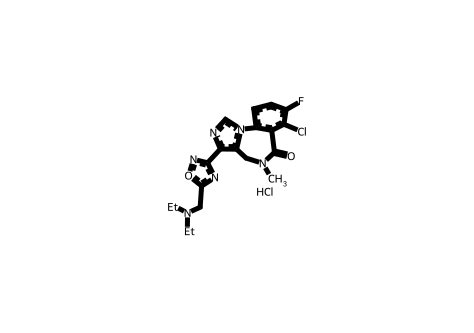 CCN(CC)Cc1nc(-c2ncn3c2CN(C)C(=O)c2c-3ccc(F)c2Cl)no1.Cl